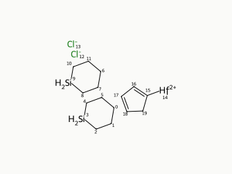 C1CC[SiH2]CC1.C1CC[SiH2]CC1.[Cl-].[Cl-].[Hf+2][C]1=CC=CC1